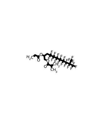 C=CC(=O)OC(COC(=O)C(=C)C)CC(F)(F)C(F)(F)C(F)(F)C(F)(F)C(F)(F)C(F)(F)C(F)(C(F)(F)F)C(F)(F)F